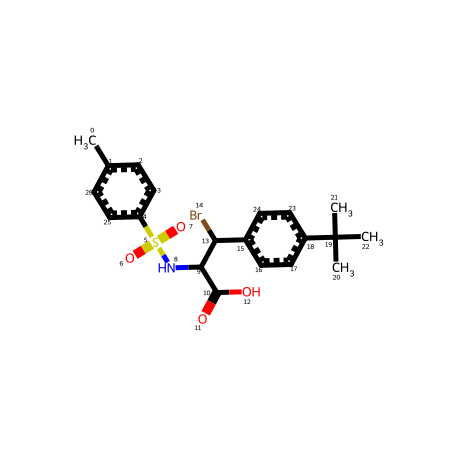 Cc1ccc(S(=O)(=O)NC(C(=O)O)C(Br)c2ccc(C(C)(C)C)cc2)cc1